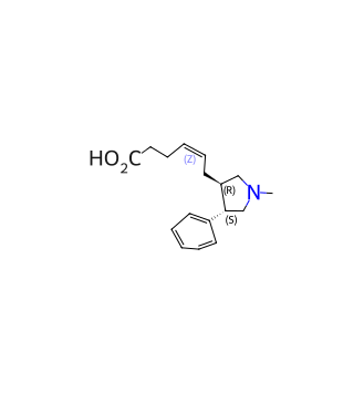 CN1C[C@H](C/C=C\CCC(=O)O)[C@@H](c2ccccc2)C1